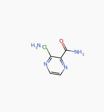 N.NC(=O)c1nccnc1Cl